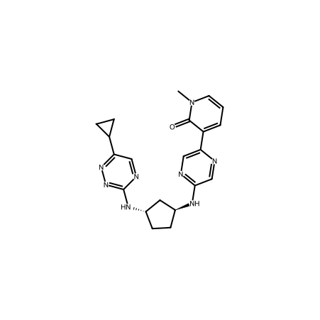 Cn1cccc(-c2cnc(N[C@H]3CC[C@H](Nc4ncc(C5CC5)nn4)C3)cn2)c1=O